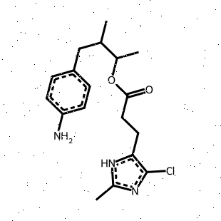 Cc1nc(Cl)c(CCC(=O)OC(C)C(C)Cc2ccc(N)cc2)[nH]1